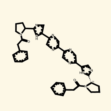 O=C([CH]c1ccccc1)N1CCCC1c1ncc(-c2cnc(-c3cnc(-c4cnc([C@@H]5CCCN5C(=O)[CH]c5ccccc5)[nH]4)cn3)cn2)[nH]1